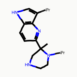 CC(C)c1c[nH]c2ccc(C3(C)CNCCN3C(C)C)nc12